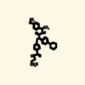 CC(NC(=O)C(Cc1ccc(C(=O)NCCC(=O)O)cc1)c1ccc(C2CCCCC2)cc1)c1ccc(OC(F)(F)F)cc1